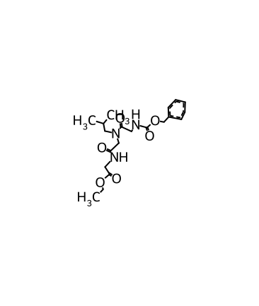 CCOC(=O)CNC(=O)CN(CC(C)C)C(=O)CNC(=O)OCc1ccccc1